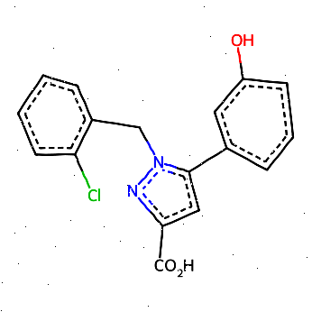 O=C(O)c1cc(-c2cccc(O)c2)n(Cc2ccccc2Cl)n1